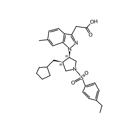 CCc1ccc(S(=O)(=O)N2C[C@@H](CC3CCCC3)[C@@H](n3nc(CC(=O)O)c4ccc(C)cc43)C2)cc1